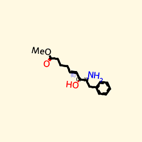 COC(=O)CCC/C=C/[C@H](O)[C@@H](N)Cc1ccccc1